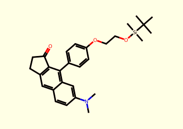 CN(C)c1ccc2cc3c(c(-c4ccc(OCCO[Si](C)(C)C(C)(C)C)cc4)c2c1)C(=O)CC3